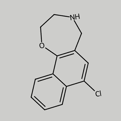 Clc1cc2c(c3ccccc13)OCCNC2